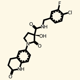 O=C1CCc2cc(N3CC[C@](O)(C(=O)NCc4ccc(Cl)c(F)c4)C3=O)ccc2N1